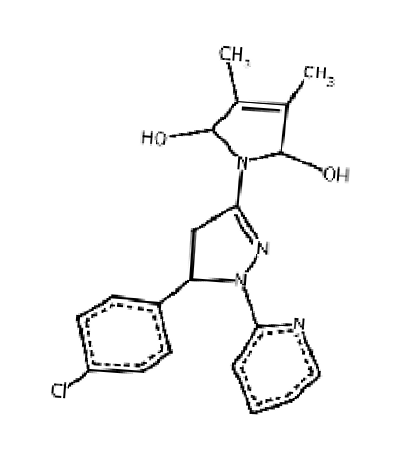 CC1=C(C)C(O)N(C2=NN(c3ccccn3)C(c3ccc(Cl)cc3)C2)C1O